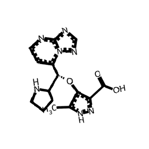 Cc1[nH]nc(C(=O)O)c1O[C@@H](c1ccnc2ncnn12)C1CCCN1